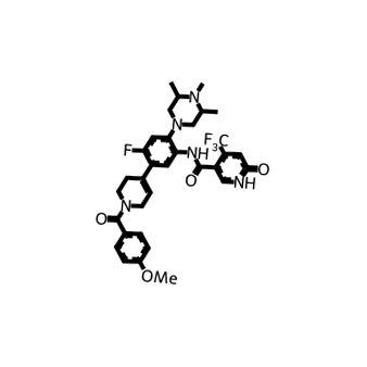 COc1ccc(C(=O)N2CC=C(c3cc(NC(=O)c4c[nH]c(=O)cc4C(F)(F)F)c(N4CC(C)N(C)C(C)C4)cc3F)CC2)cc1